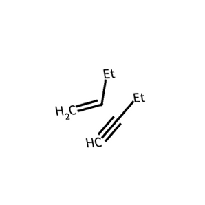 C#CCC.C=CCC